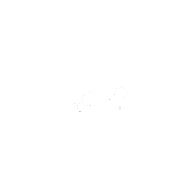 COc1ccc(N)c(NCc2ccc3nc(SC)oc3c2)c1